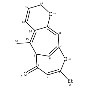 CCC1=CC(=O)C2C=C(C=C3OCC=CC3=C2C)O1